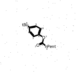 CCCCCC(=O)Oc1ccc(C(C)(C)C)cc1